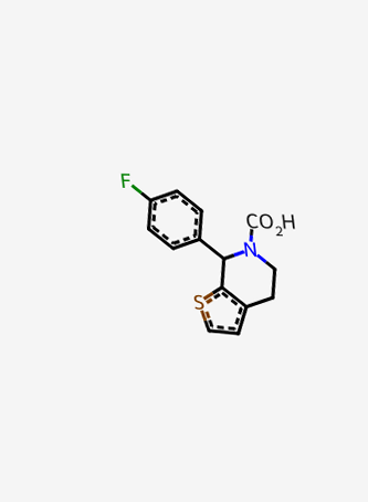 O=C(O)N1CCc2ccsc2C1c1ccc(F)cc1